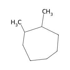 CC1CCCCCC1C